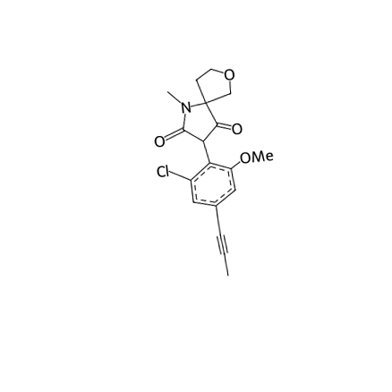 CC#Cc1cc(Cl)c(C2C(=O)N(C)C3(CCOC3)C2=O)c(OC)c1